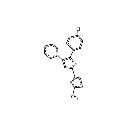 Cc1ccc(-c2cc(-c3ccccc3)c(-c3ccc(Cl)cc3)s2)s1